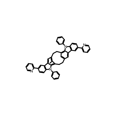 Cc1c2cc3c4cc(-c5ccccn5)ccc4n(-c4ccccc4)c3c1CCc1cc(c3c(c1)c1cc(-c4ccccn4)ccc1n3-c1ccccc1)CC2